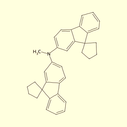 CN(c1ccc2c(c1)C1(CCCC1)c1ccccc1-2)c1ccc2c(c1)C1(CCCC1)c1ccccc1-2